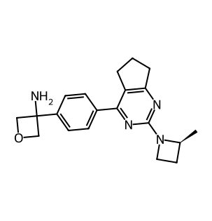 C[C@H]1CCN1c1nc2c(c(-c3ccc(C4(N)COC4)cc3)n1)CCC2